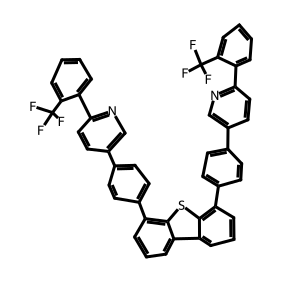 FC(F)(F)c1ccccc1-c1ccc(-c2ccc(-c3cccc4c3sc3c(-c5ccc(-c6ccc(-c7ccccc7C(F)(F)F)nc6)cc5)cccc34)cc2)cn1